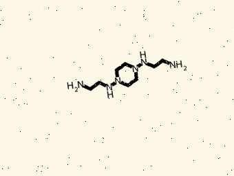 NCCNN1CCN(NCCN)CC1